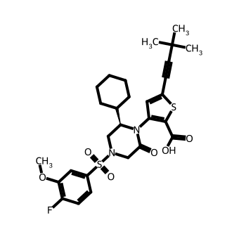 COc1cc(S(=O)(=O)N2CC(=O)N(c3cc(C#CC(C)(C)C)sc3C(=O)O)[C@H](C3CCCCC3)C2)ccc1F